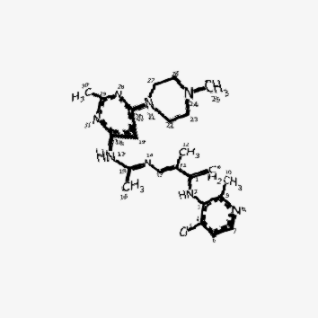 C=C(Nc1c(Cl)ccnc1C)/C(C)=C/N=C(\C)Nc1cc(N2CCN(C)CC2)nc(C)n1